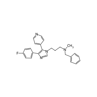 CN(CCCn1cnc(-c2ccc(F)cc2)c1-c1ccncc1)Cc1ccccc1